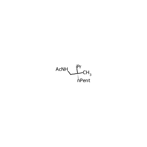 CCCCC[C@](C)(CNC(C)=O)C(C)C